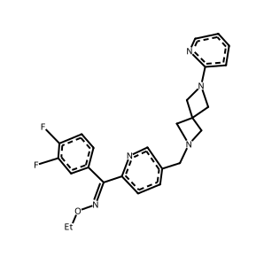 CCON=C(c1ccc(F)c(F)c1)c1ccc(CN2CC3(C2)CN(c2ccccn2)C3)cn1